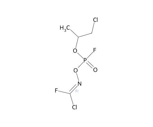 CC(CCl)OP(=O)(F)O/N=C(\F)Cl